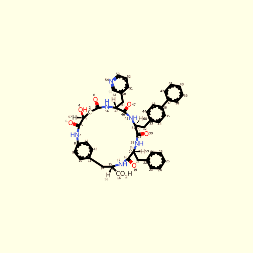 O=C1C[C@@H](O)C(=O)Nc2ccc(cc2)C[C@@H](C(=O)O)NC(=O)[C@@H](Cc2ccccc2)NC(=O)[C@H](Cc2ccc(-c3ccccc3)cc2)NC(=O)[C@@H](Cc2cccnc2)N1